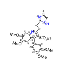 CCOC(=O)c1c(CCc2nc(C)c[nH]2)nc2cc(OC)c(OC)cc2c1-c1ccc(OC)c(OC)c1